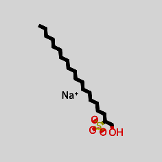 CCCCCCCCCCCCCCCCCCC(CO)S(=O)(=O)[O-].[Na+]